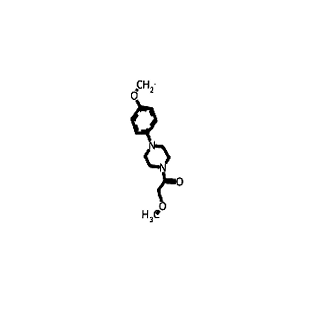 [CH2]Oc1ccc(N2CCN(C(=O)COC)CC2)cc1